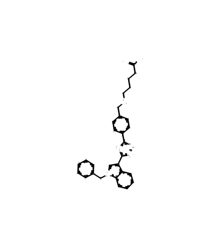 O=C(O)CCCCNCc1ccc(-c2noc(-c3cn(Cc4ccccc4)c4ccccc34)n2)cc1